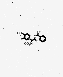 CCC(OC(=O)C(C(=O)O)c1ccc([N+](=O)[O-])c(C)c1)c1ccccc1